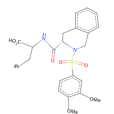 COc1ccc(S(=O)(=O)N2Cc3ccccc3C[C@H]2C(=O)NC(CC(C)C)C(=O)O)cc1OC